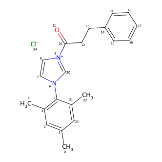 Cc1cc(C)c(-n2cc[n+](C(=O)CCc3ccccc3)c2)c(C)c1.[Cl-]